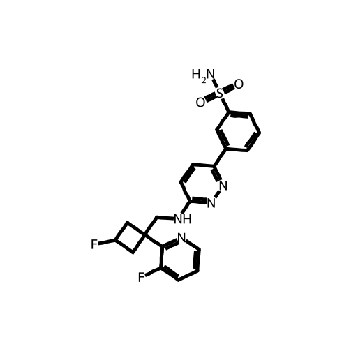 NS(=O)(=O)c1cccc(-c2ccc(NCC3(c4ncccc4F)CC(F)C3)nn2)c1